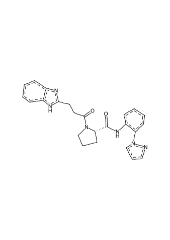 O=C(Nc1ccccc1-n1cccn1)[C@@H]1CCCN1C(=O)CCc1nc2ccccc2[nH]1